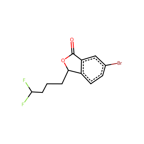 O=C1OC(CCCC(F)F)c2ccc(Br)cc21